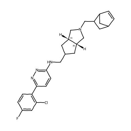 Fc1ccc(-c2ccc(NCC3C[C@@H]4CN(CC5CC6C=CC5C6)C[C@@H]4C3)nn2)c(Cl)c1